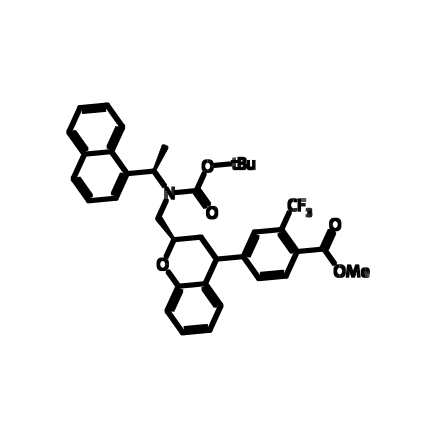 COC(=O)c1ccc(C2C[C@H](CN(C(=O)OC(C)(C)C)[C@H](C)c3cccc4ccccc34)Oc3ccccc32)cc1C(F)(F)F